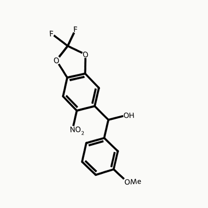 COc1cccc(C(O)c2cc3c(cc2[N+](=O)[O-])OC(F)(F)O3)c1